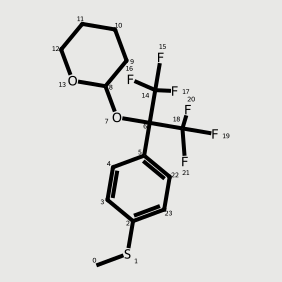 CSc1ccc(C(OC2CCCCO2)(C(F)(F)F)C(F)(F)F)cc1